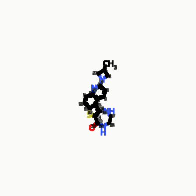 CC1CN(c2ccc3c(ccc4sc5c(c43)NCCNC5=O)n2)C1